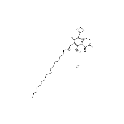 CCCCCCCCCCCCCCCCOCc1c(C)c(C2CCS2)[n+](CC)c(C(=O)OC)c1N.[Cl-]